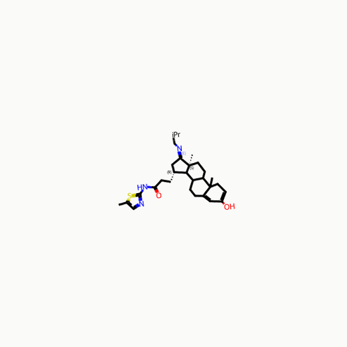 Cc1cnc(NC(=O)CC[C@@H]2C/C(=N\CC(C)C)[C@@]3(C)CCC4C(CCC5=CC(O)=CCC54C)C23)s1